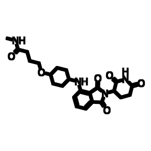 CNC(=O)CCCOC1CCC(Nc2cccc3c2C(=O)N(C2CCC(=O)NC2=O)C3=O)CC1